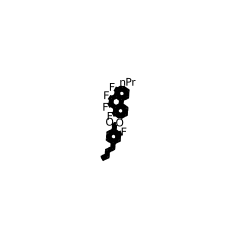 C=CCCc1ccc(C(=O)Oc2ccc3c(c2F)C(F)C(F)c2c-3ccc(CCC)c2F)c(F)c1